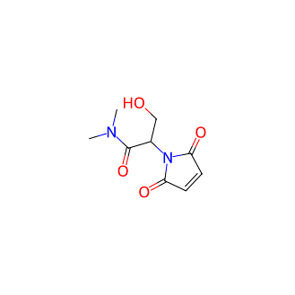 CN(C)C(=O)C(CO)N1C(=O)C=CC1=O